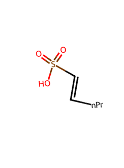 CCCC=CS(=O)(=O)O